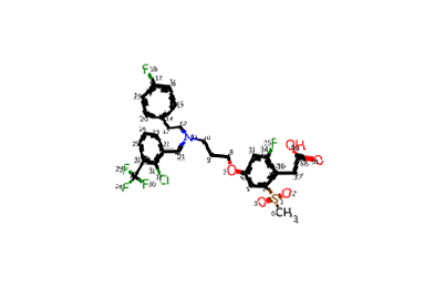 CS(=O)(=O)c1cc(OCCCN(CCc2ccc(F)cc2)Cc2cccc(C(F)(F)F)c2Cl)cc(F)c1CC(=O)O